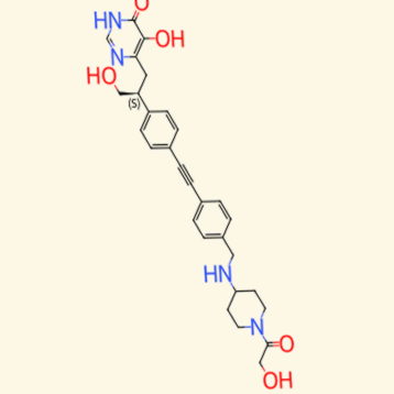 O=C(CO)N1CCC(NCc2ccc(C#Cc3ccc([C@@H](CO)Cc4nc[nH]c(=O)c4O)cc3)cc2)CC1